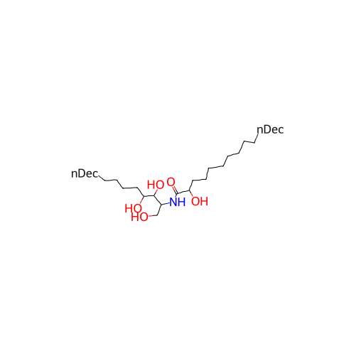 CCCCCCCCCCCCCCCCCCC(O)C(=O)NC(CO)C(O)C(O)CCCCCCCCCCCCCC